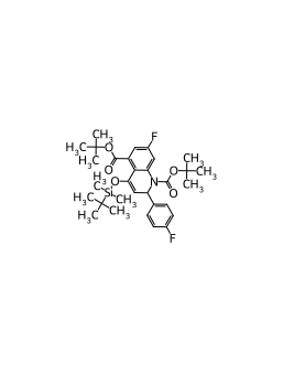 CC(C)(C)OC(=O)c1cc(F)cc2c1C(O[Si](C)(C)C(C)(C)C)=CC(c1ccc(F)cc1)N2C(=O)OC(C)(C)C